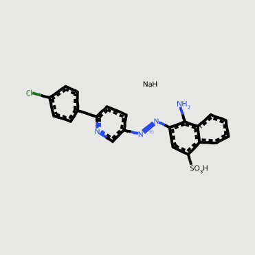 Nc1c(/N=N/c2ccc(-c3ccc(Cl)cc3)nc2)cc(S(=O)(=O)O)c2ccccc12.[NaH]